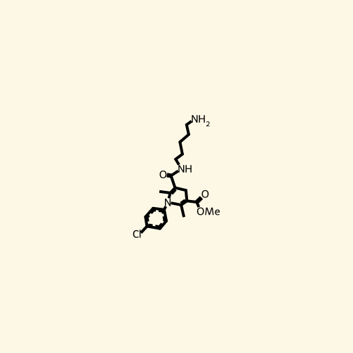 COC(=O)C1=C(C)N(c2ccc(Cl)cc2)C(C)=C(C(=O)NCCCCCN)C1